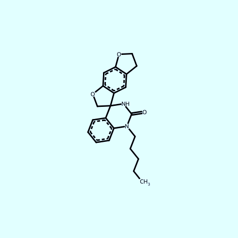 CCCCCN1C(=O)NC2(COc3cc4c(cc32)CCO4)c2ccccc21